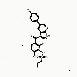 CCCS(=O)(=O)Nc1c(Cl)ccc(C(=O)c2c[nH]c3ncc(-c4ccc(Cl)cc4)cc23)c1F